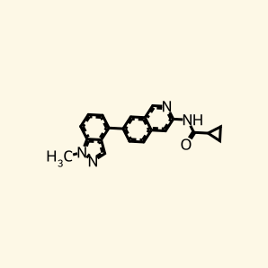 Cn1ncc2c(-c3ccc4cc(NC(=O)C5CC5)ncc4c3)cccc21